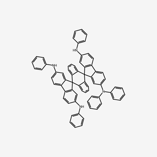 c1ccc(Nc2ccc3c(c2)C2(c4cc(Nc5ccccc5)ccc4-3)c3ccccc3C3(c4cc(Nc5ccccc5)ccc4-c4ccc(N(c5ccccc5)c5ccccc5)cc43)c3ccccc32)cc1